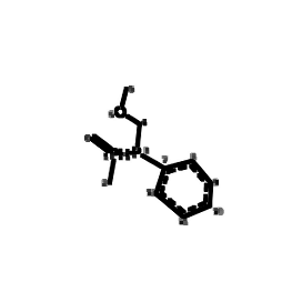 C=[PH](C)P(COC)c1ccccc1